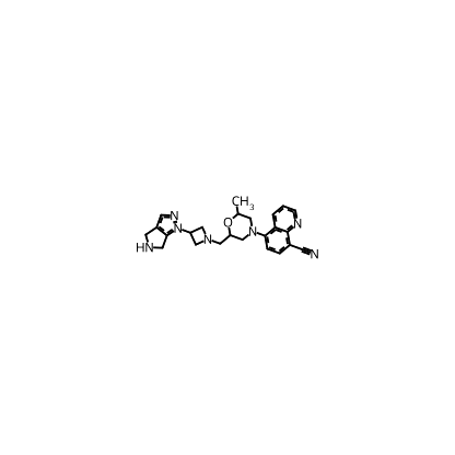 CC1CN(c2ccc(C#N)c3ncccc23)CC(CN2CC(n3ncc4c3CNC4)C2)O1